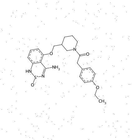 CCOc1ccc(CC(=O)N2CCCC(COc3cccc4c3C(N)=N[S+]([O-])N4)C2)cc1